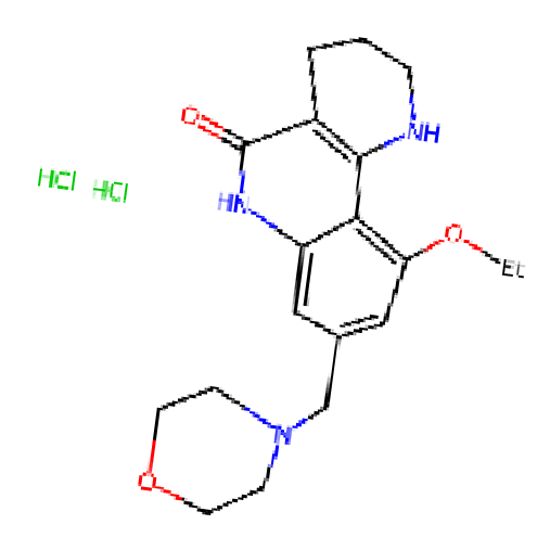 CCOc1cc(CN2CCOCC2)cc2[nH]c(=O)c3c(c12)NCCC3.Cl.Cl